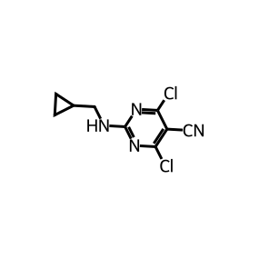 N#Cc1c(Cl)nc(NCC2CC2)nc1Cl